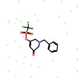 O=C1C=C(OS(=O)(=O)C(F)(F)F)CN(Cc2ccccc2)C1